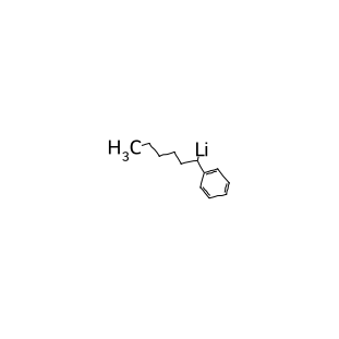 [Li][CH](CCCCC)c1ccccc1